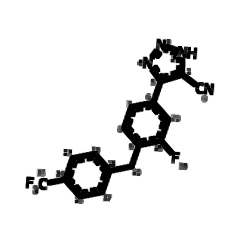 N#Cc1[nH]nnc1-c1ccc(Cc2ccc(C(F)(F)F)cc2)c(F)c1